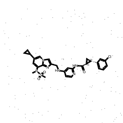 CN(c1cc(C2CC2)cn2cc(CNc3ccnc(NC(=O)[C@H]4C[C@@H]4c4cccc(Cl)c4)c3)nc12)S(C)(=O)=O